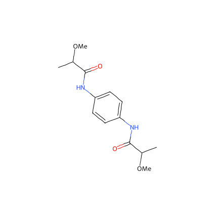 COC(C)C(=O)Nc1ccc(NC(=O)C(C)OC)cc1